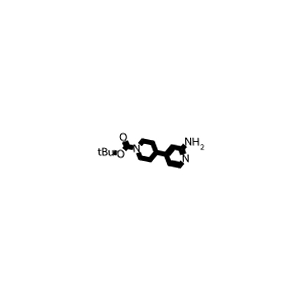 CC(C)(C)OC(=O)N1CCC(c2ccnc(N)c2)CC1